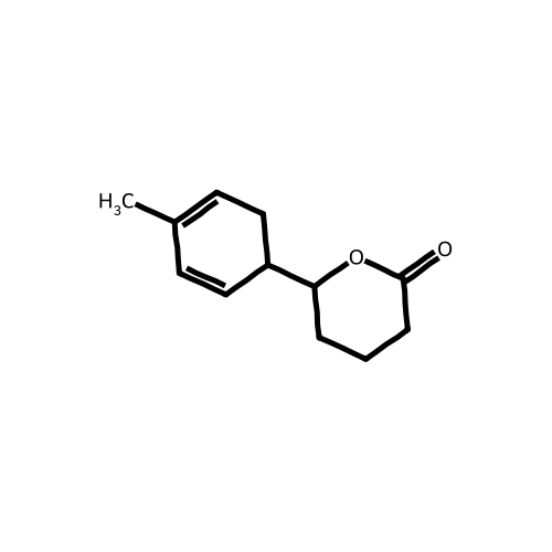 CC1=CCC(C2CCCC(=O)O2)C=C1